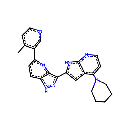 Cc1ccncc1-c1ccc2[nH]nc(-c3cc4c(N5CCCCC5)ccnc4[nH]3)c2n1